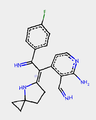 N=Cc1c(/C(C(=N)c2ccc(F)cc2)=C2\CCC3(CC3)N2)ccnc1N